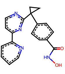 O=C(NO)c1ccc(C2(c3nccc(-c4ccccn4)n3)CC2)cc1